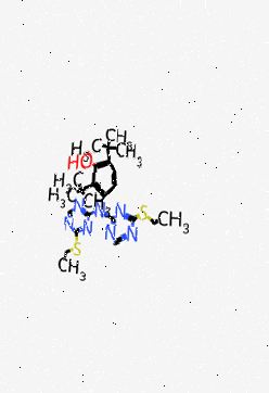 CCSc1ncnc(N(c2ncnc(SCC)n2)c2ccc(C(C)(C)C)c(O)c2C(C)(C)C)n1